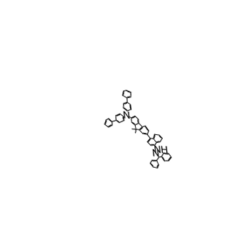 CC1(C)c2cc(-c3ccc(NN=C(c4ccccc4)c4ccccc4)c4ccccc34)ccc2-c2ccc(N(c3ccc(-c4ccccc4)cc3)c3ccc(-c4ccccc4)cc3)cc21